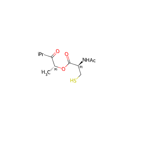 CC(=O)N[C@@H](CS)C(=O)O[C@H](C)C(=O)C(C)C